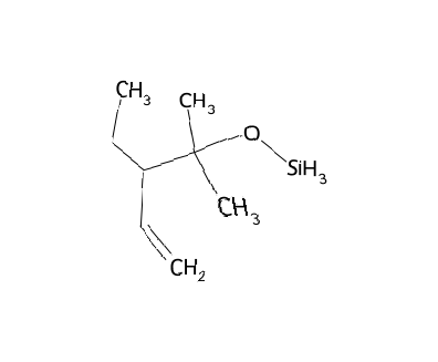 C=CC(CC)C(C)(C)O[SiH3]